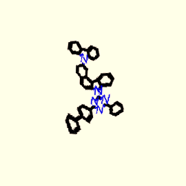 c1ccc(-c2ccc(-c3nc(-c4ccccc4)nc(-n4c5ccccc5c5c6cc(-n7c8ccccc8c8ccccc87)ccc6ccc54)n3)cc2)cc1